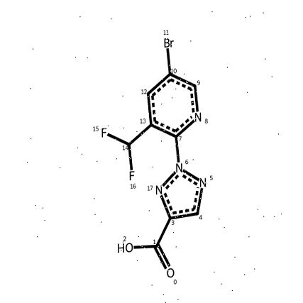 O=C(O)c1cnn(-c2ncc(Br)cc2C(F)F)n1